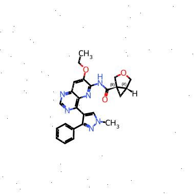 CCOc1cc2ncnc(-c3cn(C)nc3-c3ccccc3)c2nc1NC(=O)[C@@]12COC[C@@H]1C2